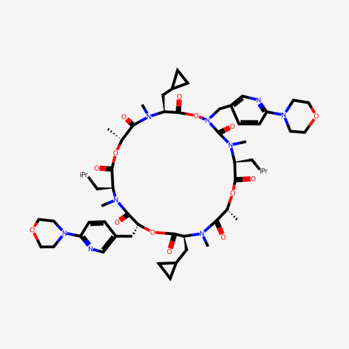 CC(C)C[C@H]1C(=O)O[C@H](C)C(=O)N(C)[C@@H](CC2CC2)C(=O)ON(Cc2ccc(N3CCOCC3)nc2)C(=O)N(C)[C@@H](CC(C)C)C(=O)O[C@H](C)C(=O)N(C)[C@@H](CC2CC2)C(=O)O[C@H](Cc2ccc(N3CCOCC3)nc2)C(=O)N1C